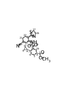 COC(=O)c1ccc(C2CC2)c(S(=O)(=O)Nc2cc(C#N)ccc2-c2nccs2)c1